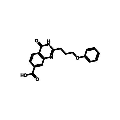 O=C(O)c1ccc2c(=O)[nH]c(CCCOc3ccccc3)nc2c1